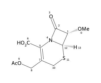 CO[C@H]1C(=O)N2C(C(=O)O)=C(COC(C)=O)CS[C@H]12